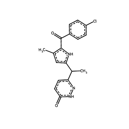 Cc1cc(C(C)c2ccc(=O)[nH]n2)[nH]c1C(=O)c1ccc(Cl)cc1